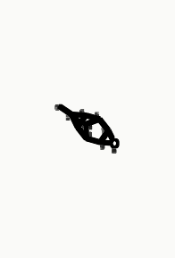 CC1=C2C3CC(C12)C1OC31